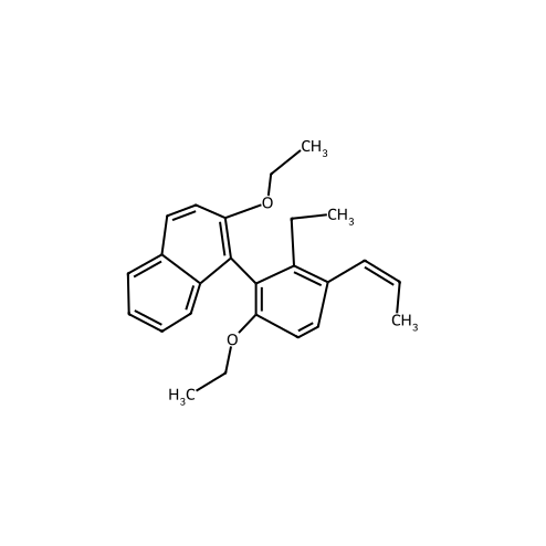 C/C=C\c1ccc(OCC)c(-c2c(OCC)ccc3ccccc23)c1CC